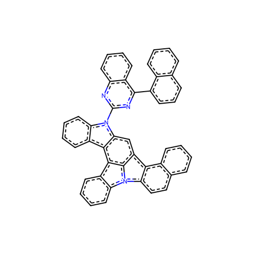 c1ccc2c(-c3nc(-n4c5ccccc5c5c6c7ccccc7n7c8ccc9ccccc9c8c(cc54)c67)nc4ccccc34)cccc2c1